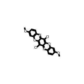 COc1ccc2c(c1)Oc1c(Cl)c3c(c(Cl)c1=N2)Oc1cc(OC)ccc1N=3